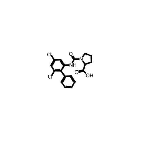 O=C(O)C1CCCN1C(=O)Nc1cc(Cl)cc(Cl)c1-c1ccccc1